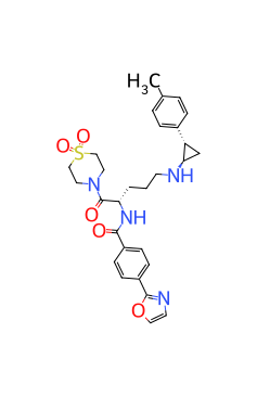 Cc1ccc([C@@H]2C[C@H]2NCCC[C@H](NC(=O)c2ccc(-c3ncco3)cc2)C(=O)N2CCS(=O)(=O)CC2)cc1